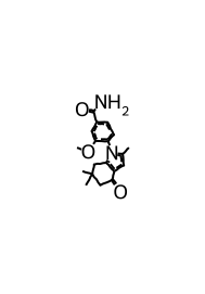 COc1cc(C(N)=O)ccc1-n1c(C)cc2c1CC(C)(C)CC2=O